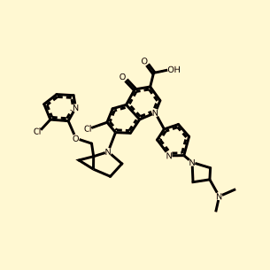 CN(C)C1CN(c2ccc(-n3cc(C(=O)O)c(=O)c4cc(Cl)c(N5CCC6CC65COc5ncccc5Cl)cc43)cn2)C1